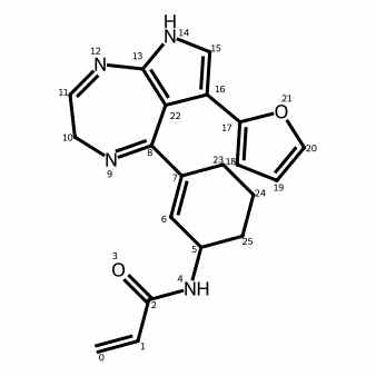 C=CC(=O)NC1C=C(C2=NCC=Nc3[nH]cc(-c4ccco4)c32)CCC1